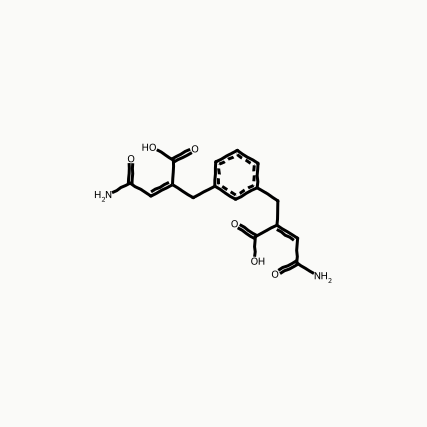 NC(=O)C=C(Cc1cccc(CC(=CC(N)=O)C(=O)O)c1)C(=O)O